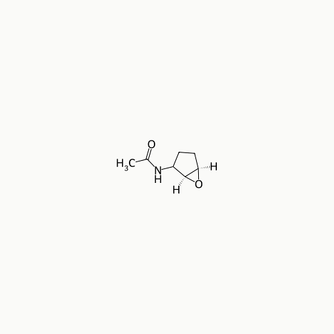 CC(=O)NC1CC[C@H]2O[C@@H]12